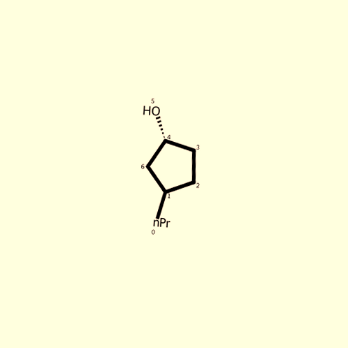 CCCC1CC[C@@H](O)C1